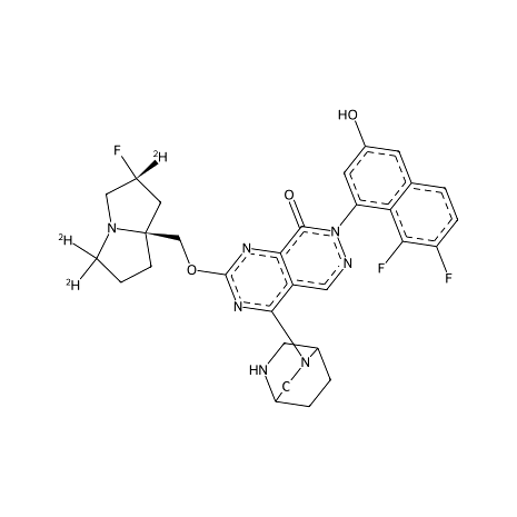 [2H]C1([2H])CC[C@@]2(COc3nc(N4CC5CCC4CN5)c4cnn(-c5cc(O)cc6ccc(F)c(F)c56)c(=O)c4n3)C[C@@]([2H])(F)CN12